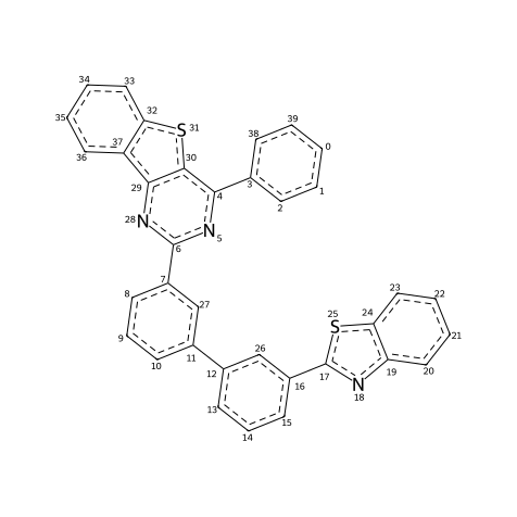 c1ccc(-c2nc(-c3cccc(-c4cccc(-c5nc6ccccc6s5)c4)c3)nc3c2sc2ccccc23)cc1